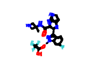 Cn1nc(-c2nc3cc[nH]c3nc2C(=O)NC2(C)CNC2)c2ccc(F)cc21.O=C(O)C(F)(F)F